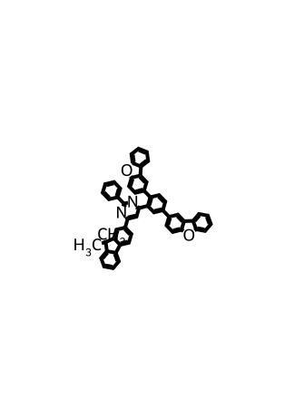 CC1(C)c2ccccc2-c2ccc(-c3cc(-c4cc(-c5ccc6oc7ccccc7c6c5)ccc4-c4ccc5oc6ccccc6c5c4)nc(-c4ccccc4)n3)cc21